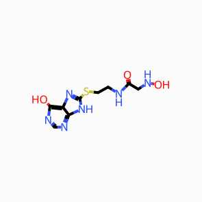 O=C(CNO)NCCSc1nc2c(O)ncnc2[nH]1